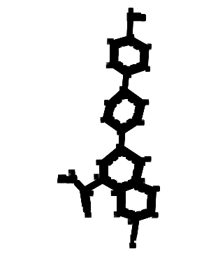 CNc1ccc(-c2ccc(-c3cc(C(=O)OC)c4cc(F)ccc4n3)cc2)cc1